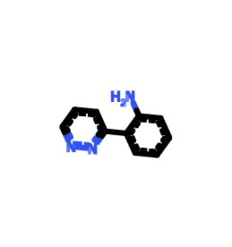 Nc1ccccc1-c1cccnn1